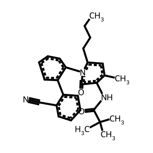 CCCCc1cc(C)c(NC(=O)C(C)(C)C)c(=O)n1-c1ccccc1-c1ccccc1C#N